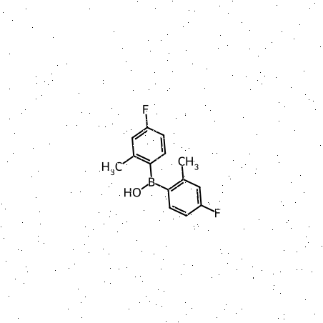 Cc1cc(F)ccc1B(O)c1ccc(F)cc1C